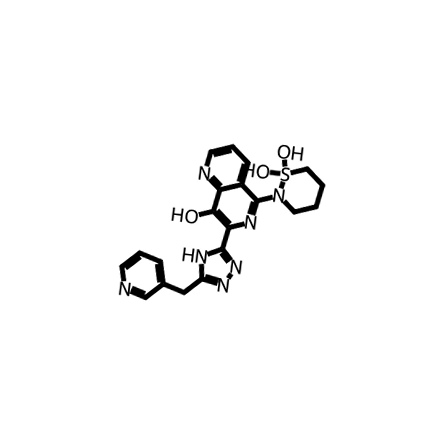 Oc1c(-c2nnc(Cc3cccnc3)[nH]2)nc(N2CCCCS2(O)O)c2cccnc12